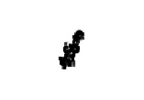 Cc1cc(C)c(CN2CCc3ccc(OCc4ncccc4C)c(Cl)c3C2=O)c(=O)[nH]1